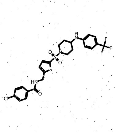 O=C(NCc1ccc(S(=O)(=O)N2CCC(Nc3ccc(C(F)(F)F)cc3)CC2)s1)c1ccc(Cl)cc1